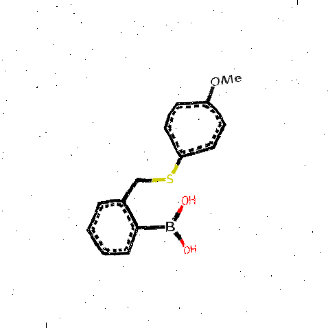 COc1ccc(SCc2ccccc2B(O)O)cc1